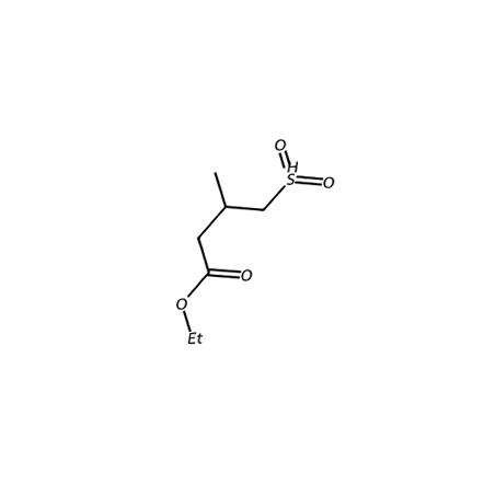 CCOC(=O)CC(C)C[SH](=O)=O